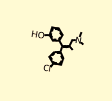 C/C(CN(C)C)=C(\c1ccc(Cl)cc1)c1cccc(O)c1